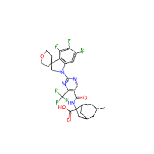 CC1CC2CC(C1)C(NC(=O)c1cnc(N3CC4(CCOCC4)c4c3cc(F)c(F)c4F)nc1C(F)(F)F)(C(=O)O)C2